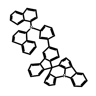 c1cc(-c2ccc3c(c2)-c2ccccc2C32c3ccccc3-n3c4ccccc4c4cccc2c43)cc(N(c2cccc3ccccc23)c2cccc3ccccc23)c1